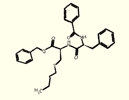 CCCCSC[C@H](NC(=O)[C@H](Cc1ccccc1)NC(=O)c1ccccc1)C(=O)OCc1ccccc1